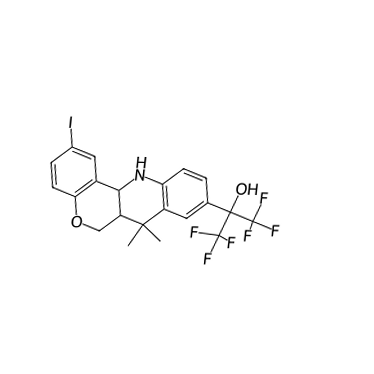 CC1(C)c2cc(C(O)(C(F)(F)F)C(F)(F)F)ccc2NC2c3cc(I)ccc3OCC21